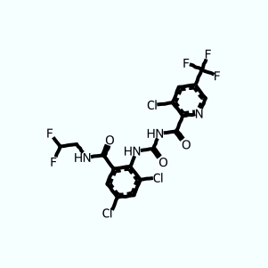 O=C(NC(=O)c1ncc(C(F)(F)F)cc1Cl)Nc1c(Cl)cc(Cl)cc1C(=O)NCC(F)F